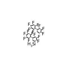 Fc1c([SiH3])cc(-c2c(F)c(F)c(F)c(F)c2F)c(F)c1F.Fc1ccc(-c2c(F)c(F)c(F)c(F)c2F)c(F)c1F